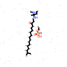 CCC(C)(NC)NCCC(=O)CCCCCCCCCCCCC(C)C.CCOS(=O)(=O)O